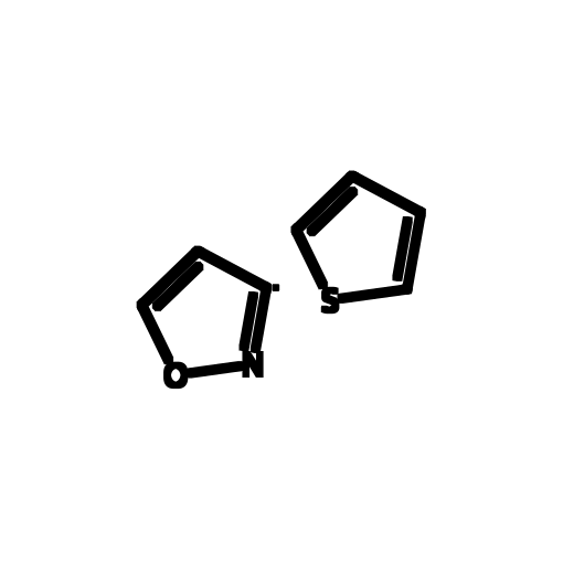 [c]1ccon1.c1ccsc1